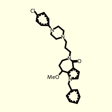 COC1CCN(CCCN2CCN(c3ccc(Cl)cc3)CC2)C(=O)c2ccn(Cc3ccccc3)c21